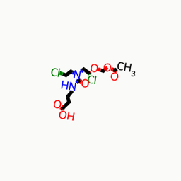 CC(=O)OCOC(Cl)CN(CCCl)C(=O)NCCCC(=O)O